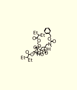 CCC(CC)C(=O)OCOP(=O)(OCOC(=O)C(CC)CC)C(O)(CCCN(C)C(=O)OCc1ccccc1)P(=O)(O)O